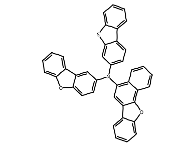 c1ccc2c(c1)oc1ccc(N(c3ccc4c(c3)sc3ccccc34)c3cc4c5ccccc5oc4c4ccccc34)cc12